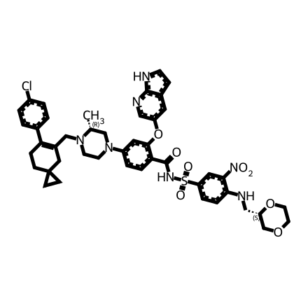 C[C@@H]1CN(c2ccc(C(=O)NS(=O)(=O)c3ccc(NC[C@H]4COCCO4)c([N+](=O)[O-])c3)c(Oc3cnc4[nH]ccc4c3)c2)CCN1CC1=C(c2ccc(Cl)cc2)CCC2(CC2)C1